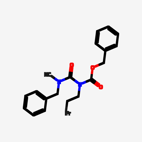 CC(C)CCN(C(=O)OCc1ccccc1)C(=O)N(C#N)Cc1ccccc1